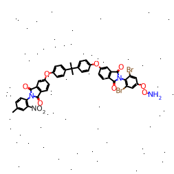 Cc1ccc(N2C(=O)c3ccc(Oc4ccc(C(C)(C)c5ccc(Oc6ccc7c(c6)C(=O)N(c6c(Br)cc(OON)cc6Br)C7=O)cc5)cc4)cc3C2=O)c([N+](=O)[O-])c1